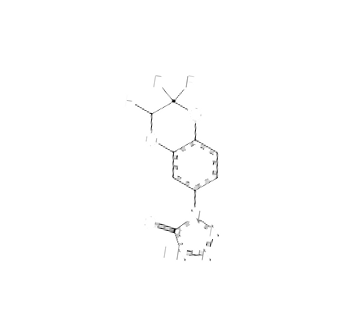 O=c1[nH]nnn1-c1ccc2c(c1)OC(F)C(F)(F)O2